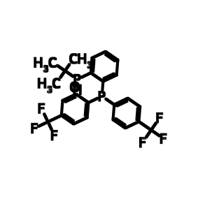 CC(C)(C)[PH](=O)c1ccccc1P(c1ccc(C(F)(F)F)cc1)c1ccc(C(F)(F)F)cc1